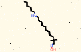 CCCCCCNCC/C=C/CC/C=C/CC(C)(C)/C=N/O